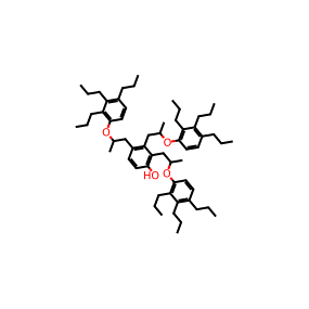 CCCc1ccc(OC(C)Cc2ccc(O)c(CC(C)Oc3ccc(CCC)c(CCC)c3CCC)c2CC(C)Oc2ccc(CCC)c(CCC)c2CCC)c(CCC)c1CCC